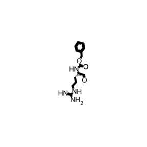 N=C(N)NCCC[C@@H](C=O)NC(=O)OCc1ccccc1